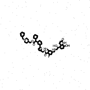 O=C(NCc1ccc(-c2cccc(C(C(=O)OCC3CCN(Cc4ccccc4)CC3)c3ccccc3)c2)s1)c1c(F)cc(CNC[C@H](O)c2ccc(O)c3[nH]c(=O)ccc23)cc1Cl